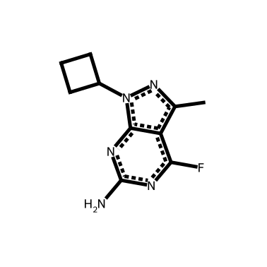 Cc1nn(C2CCC2)c2nc(N)nc(F)c12